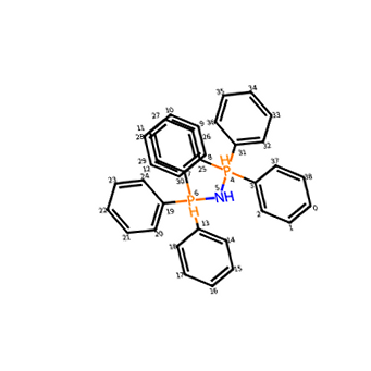 c1ccc([PH](N[PH](c2ccccc2)(c2ccccc2)c2ccccc2)(c2ccccc2)c2ccccc2)cc1